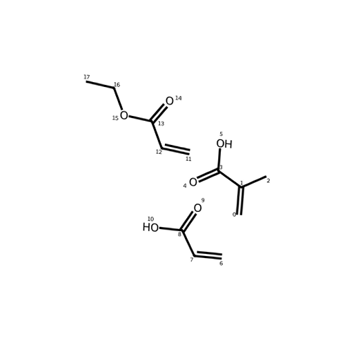 C=C(C)C(=O)O.C=CC(=O)O.C=CC(=O)OCC